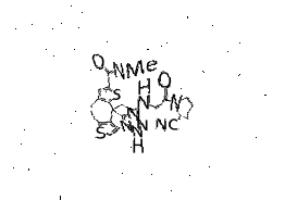 CNC(=O)c1cc2c(s1)C(CCNCC(=O)N1CCC[C@H]1C#N)(c1nn[nH]n1)c1ccsc1CC2